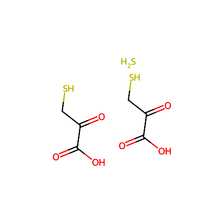 O=C(O)C(=O)CS.O=C(O)C(=O)CS.S